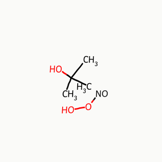 CC(C)(C)O.O=NOO